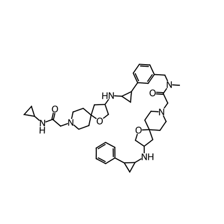 CN(Cc1cccc(C2CC2NC2COC3(CCN(CC(=O)NC4CC4)CC3)C2)c1)C(=O)CN1CCC2(CC1)CC(NC1CC1c1ccccc1)CO2